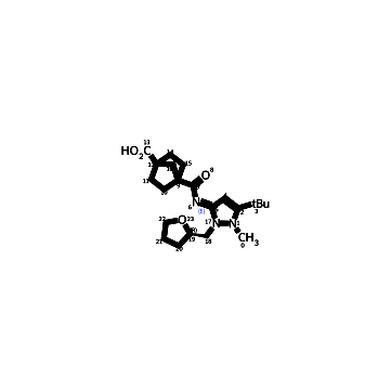 Cn1c(C(C)(C)C)c/c(=N\C(=O)C23CCC(C(=O)O)(CC2)C3)n1C[C@H]1CCCO1